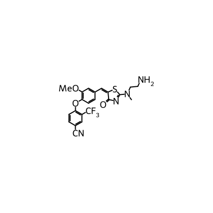 COc1cc(C=C2SC(N(C)CCN)=NC2=O)ccc1Oc1ccc(C#N)cc1C(F)(F)F